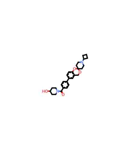 O=C(c1ccc(-c2ccc3c(c2)COC2(CCN(C4CCC4)CC2)O3)cc1)N1CCC(O)CC1